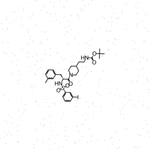 Cc1cccc(C[C@H](NS(=O)(=O)c2cccc(I)c2)C(=O)N2CCC(CCNC(=O)OC(C)(C)C)CC2)c1